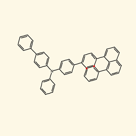 c1ccc(-c2ccc(N(c3ccccc3)c3ccc(-c4ccc(-c5cccc6cccc(-c7ccccc7)c56)cc4)cc3)cc2)cc1